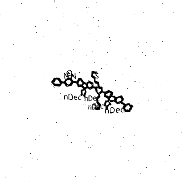 CCCCCCCCCCCCC1(CCCCCCCCCCCC)c2cc(-c3ccccc3)ccc2-c2ccc(-c3cc(/C=C/c4cccs4)c(-c4ccc5c(c4)C(CCCCCCCCCCCC)(CCCCCCCCCCCC)c4cc(-c6ccc(-c7ccccc7)c7nonc67)ccc4-5)cc3/C=C/c3cccs3)cc21